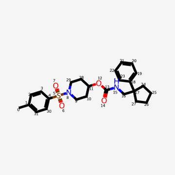 Cc1ccc(S(=O)(=O)N2CCC(OC(=O)NCC3(c4ccccc4)CCCC3)CC2)cc1